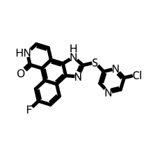 O=c1[nH]ccc2c3[nH]c(Sc4cncc(Cl)n4)nc3c3ccc(F)cc3c12